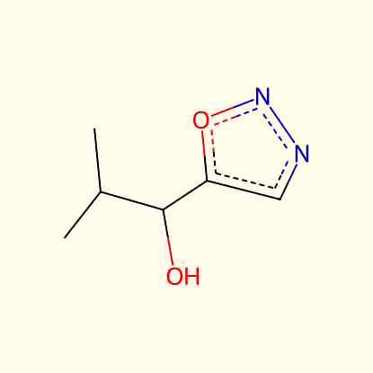 CC(C)C(O)c1cnno1